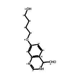 O=CC1NC=Nc2cc(OCCCCO)ccc21